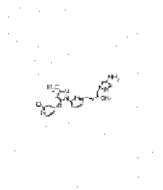 Cc1cc(Oc2ccnc(Cl)c2)n(-c2cccc(CCC(C)Cn3cc(N)cn3)n2)n1